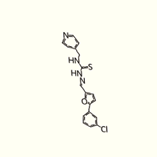 S=C(NCc1ccncc1)N/N=C/c1ccc(-c2cccc(Cl)c2)o1